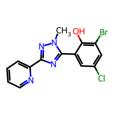 Cn1nc(-c2ccccn2)nc1-c1cc(Cl)cc(Br)c1O